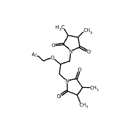 CC(=O)COC(CN1C(=O)C(C)C(C)C1=O)CN1C(=O)C(C)C(C)C1=O